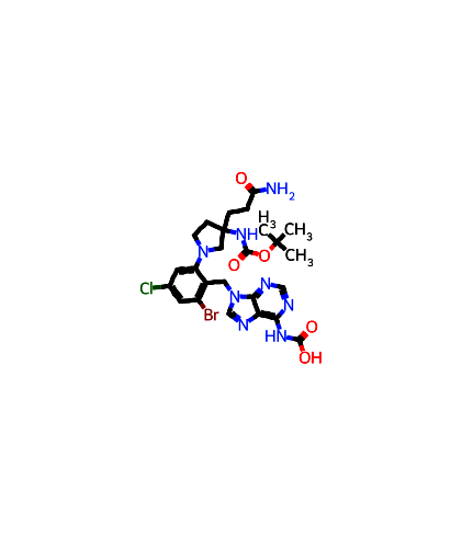 CC(C)(C)OC(=O)NC1(CCC(N)=O)CCN(c2cc(Cl)cc(Br)c2Cn2cnc3c(NC(=O)O)ncnc32)C1